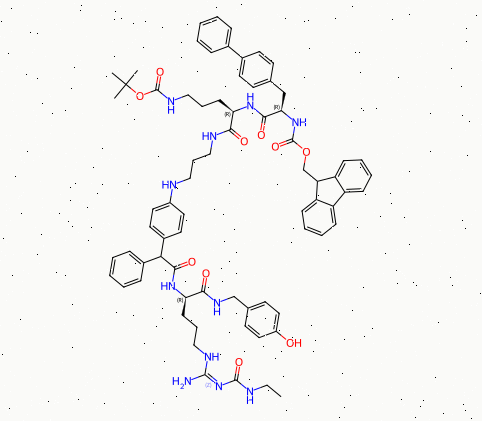 CCNC(=O)/N=C(/N)NCCC[C@@H](NC(=O)C(c1ccccc1)c1ccc(NCCCNC(=O)[C@@H](CCCNC(=O)OC(C)(C)C)NC(=O)[C@@H](Cc2ccc(-c3ccccc3)cc2)NC(=O)OCC2c3ccccc3-c3ccccc32)cc1)C(=O)NCc1ccc(O)cc1